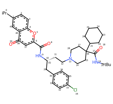 CC(C)c1ccc2oc(C(=O)N[C@H](CCN3CCC(C(=O)NC(C)(C)C)(C4CCCCC4)CC3)Cc3ccc(Cl)cc3)cc(=O)c2c1